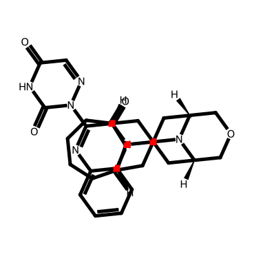 O=c1cnn(-c2nc3ccccc3n(C3C[C@H]4COC[C@@H](C3)N4C3C[C@H]4CCCC[C@@H](C3)C4)c2=O)c(=O)[nH]1